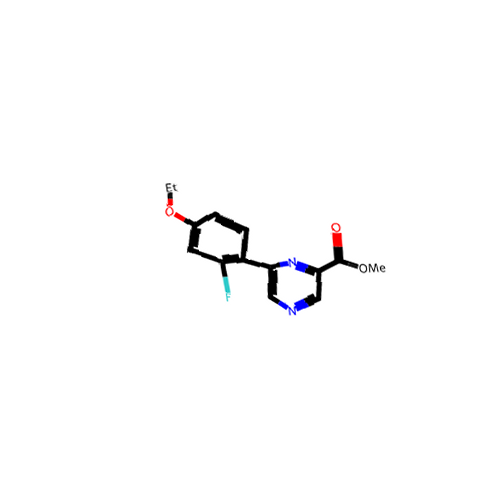 CCOc1ccc(-c2cncc(C(=O)OC)n2)c(F)c1